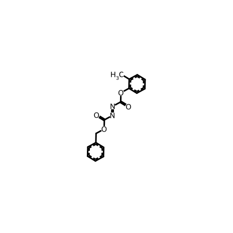 Cc1ccccc1OC(=O)N=NC(=O)OCc1ccccc1